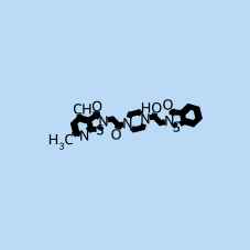 Cc1cc(C)c2c(=O)n(CC(=O)N3CCN(C(O)Cn4sc5ccccc5c4=O)CC3)sc2n1